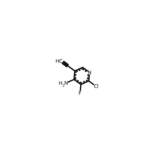 C#Cc1cnc(Cl)c(F)c1N